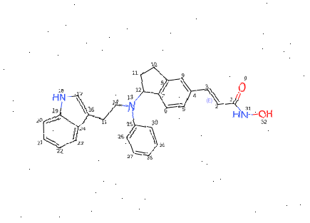 O=C(/C=C/c1ccc2c(c1)CCC2N(CCc1c[nH]c2ccccc12)c1ccccc1)NO